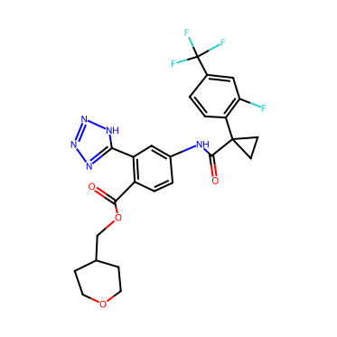 O=C(OCC1CCOCC1)c1ccc(NC(=O)C2(c3ccc(C(F)(F)F)cc3F)CC2)cc1-c1nnn[nH]1